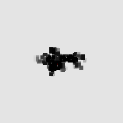 Cl.Cl.[CH2]=[Zr]([C]1=CC(C(C)(C)C)=CC1CC)([C]1=C(C)c2cc3c(cc2C1(C)C)Cc1cc2c(cc1-3)C(C)=CC2(C)C)([c]1ccc(Cl)cc1)[c]1ccc(Cl)cc1